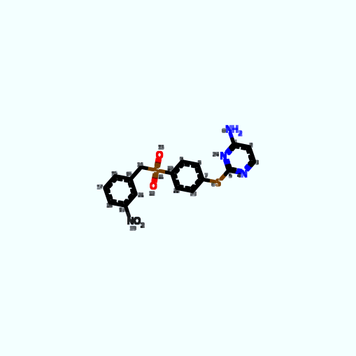 Nc1ccnc(Sc2ccc(S(=O)(=O)Cc3cccc([N+](=O)[O-])c3)cc2)n1